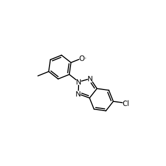 Cc1ccc([O])c(-n2nc3ccc(Cl)cc3n2)c1